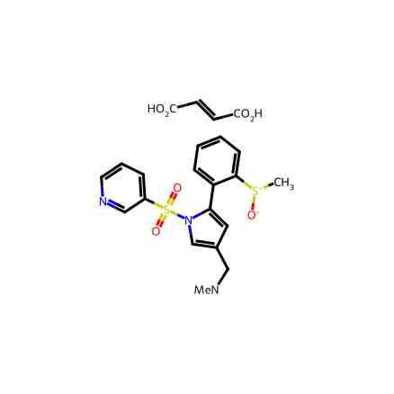 CNCc1cc(-c2ccccc2[S+](C)[O-])n(S(=O)(=O)c2cccnc2)c1.O=C(O)C=CC(=O)O